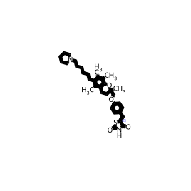 Cc1c(C)c2c(c(C)c1CCCCCCN1CCCCC1)CCC(C)(COc1ccc(/C=C3\SC(=O)NC3=O)cc1)O2